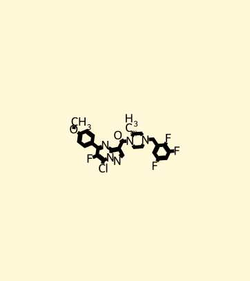 COc1ccc(-c2nc3c(C(=O)N4CCN(Cc5cc(F)cc(F)c5F)C[C@H]4C)cnn3c(Cl)c2F)cc1